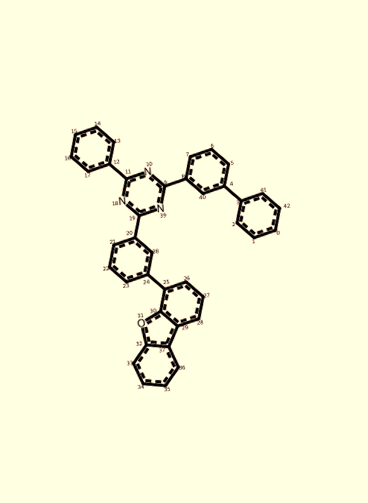 c1ccc(-c2cccc(-c3nc(-c4ccccc4)nc(-c4cccc(-c5cccc6c5oc5ccccc56)c4)n3)c2)cc1